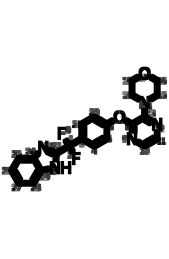 FC(F)(c1ccc(Oc2nccnc2N2CCOCC2)cc1)c1nc2ccccc2[nH]1